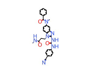 CNC(=O)CCn1c(NC(=O)Nc2ccc(C#N)cc2)nc2cc(N(C)C(=O)c3ccccc3)ccc21